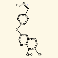 C/N=C\c1ccc(Oc2ccc3c(C=O)c(O)ccc3c2)cc1